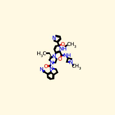 CCOC1(c2cccnc2)C=CC(N2CCN(C(=O)N3CCc4cccc(C#N)c43)C[C@H]2CC)=C(C(=O)NC2CN(C)C2)N1